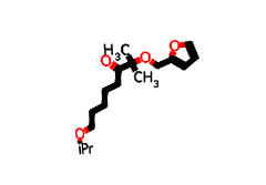 CC(C)OCCCCCC(=O)C(C)(C)OCc1ccco1